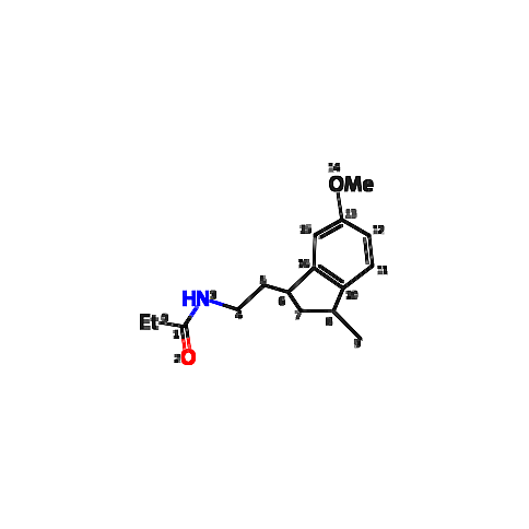 CCC(=O)NCCC1CC(C)c2ccc(OC)cc21